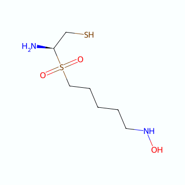 N[C@@H](CS)S(=O)(=O)CCCCCNO